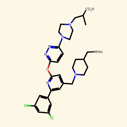 CC(=O)NCC1CCN(Cc2cc(Oc3ccc(N4CCN(CC(C)C(=O)O)CC4)nn3)nc(-c3cc(Cl)cc(Cl)c3)c2)CC1